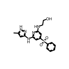 Cc1cc(Nc2cc(S(=O)(=O)c3ccccc3)cc(NCCO)n2)n[nH]1